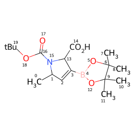 CC1C=C(B2OC(C)(C)C(C)(C)O2)C(C(=O)O)N1C(=O)OC(C)(C)C